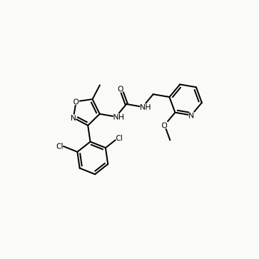 COc1ncccc1CNC(=O)Nc1c(-c2c(Cl)cccc2Cl)noc1C